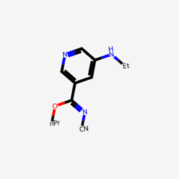 CCCO/C(=N\C#N)c1cncc(NCC)c1